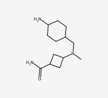 CN(CC1CCC(N)CC1)C1CC(C(N)=O)C1